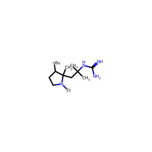 CCCCC1CCN(CC)C1(C)CC(C)(C)NC(=N)N